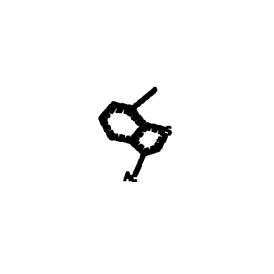 CC(=O)c1csc2c(C)cccc12